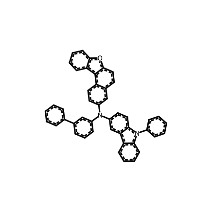 c1ccc(-c2cccc(N(c3ccc4c(ccc5oc6ccccc6c54)c3)c3ccc4c(c3)c3ccccc3n4-c3ccccc3)c2)cc1